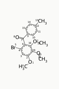 COc1cc(Br)c(C(=O)c2ccc(C)cc2)c(OC)c1OC